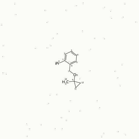 CC(C)c1c[c]ccc1COC1(C)CC1